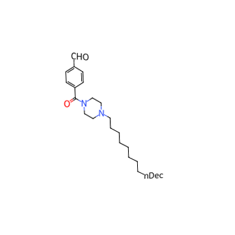 CCCCCCCCCCCCCCCCCCN1CCN(C(=O)c2ccc(C=O)cc2)CC1